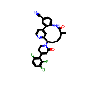 CC1CCCC(N2CCC(c3c(F)ccc(Cl)c3F)=CC2=O)c2cc(ccn2)-c2cc(C#N)ccc2NC1=O